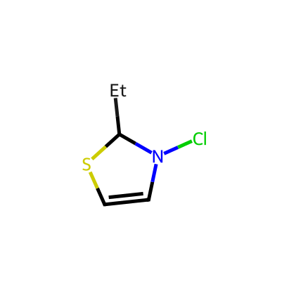 [CH2]CC1SC=CN1Cl